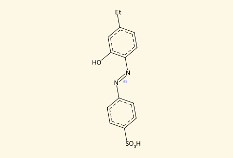 CCc1ccc(/N=N/c2ccc(S(=O)(=O)O)cc2)c(O)c1